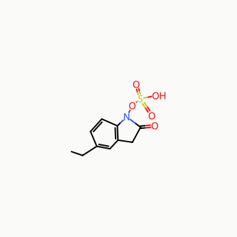 CCc1ccc2c(c1)CC(=O)N2OS(=O)(=O)O